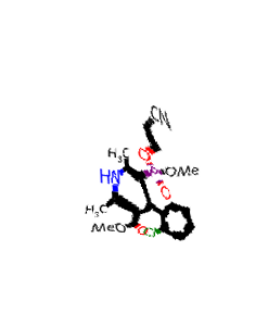 COC(=O)C1=C(C)NC(C)=C(P(=O)(OC)OCCC#N)C1c1ccccc1Cl